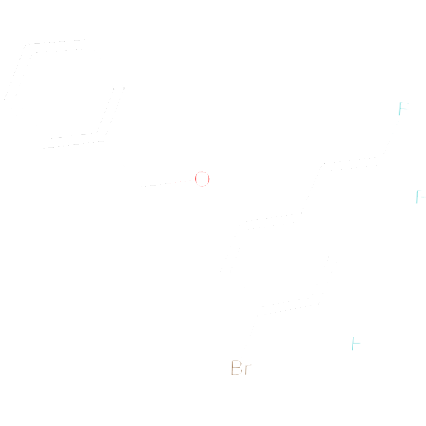 FC(F)=Cc1cc(F)c(Br)cc1OCc1ccccc1